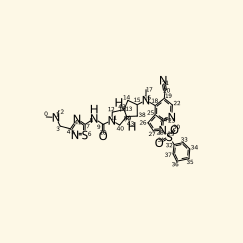 CN(C)Cc1nsc(NC(=O)N2C[C@H]3CC(N(C)c4c(C#N)cnc5c4ccn5S(=O)(=O)c4ccccc4)C[C@H]3C2)n1